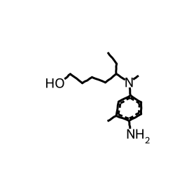 CCC(CCCCO)N(C)c1ccc(N)c(C)c1